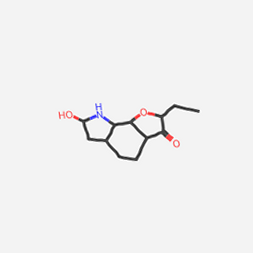 CCC1OC2C(CCC3CC(O)NC32)C1=O